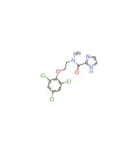 CCCN(CCOc1c(Cl)cc(Cl)cc1Cl)C(=O)c1ncc[nH]1